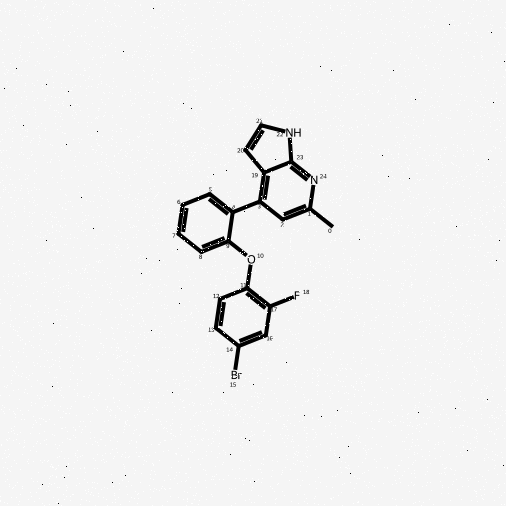 Cc1cc(-c2ccccc2Oc2ccc(Br)cc2F)c2cc[nH]c2n1